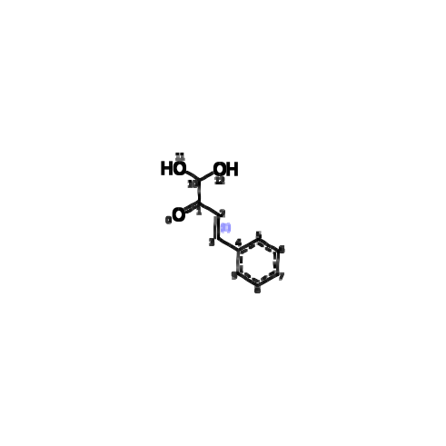 O=C(/C=C/c1ccccc1)C(O)O